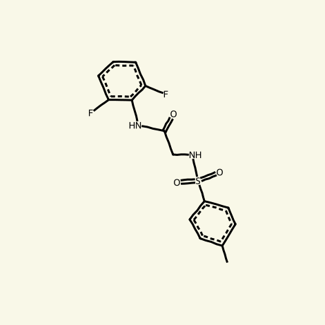 Cc1ccc(S(=O)(=O)NCC(=O)Nc2c(F)cccc2F)cc1